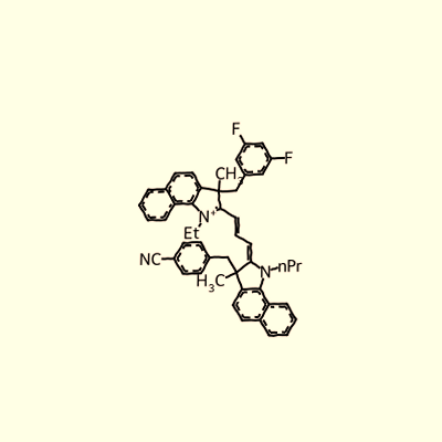 CCCN1/C(=C/C=C/C2=[N+](CC)c3c(ccc4ccccc34)C2(C)Cc2cc(F)cc(F)c2)C(C)(Cc2ccc(C#N)cc2)c2ccc3ccccc3c21